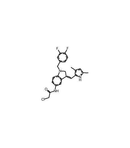 Cc1cc(C)c(C=C2CN(Cc3ccc(F)c(F)c3)c3ccc(NC(=O)CCl)cc32)[nH]1